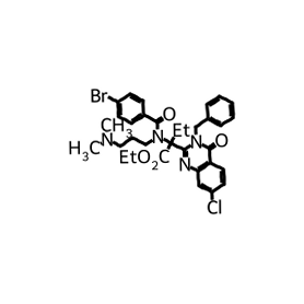 CCOC(=O)C(CC)(c1nc2cc(Cl)ccc2c(=O)n1Cc1ccccc1)N(CCCN(C)C)C(=O)c1ccc(Br)cc1